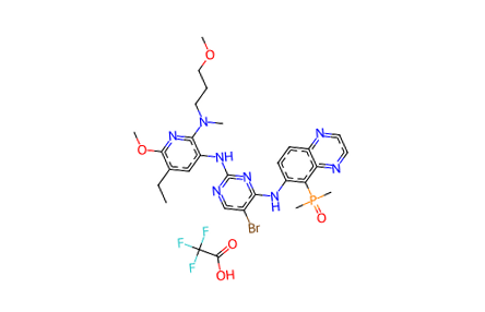 CCc1cc(Nc2ncc(Br)c(Nc3ccc4nccnc4c3P(C)(C)=O)n2)c(N(C)CCCOC)nc1OC.O=C(O)C(F)(F)F